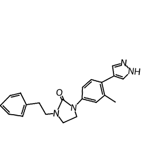 Cc1cc(N2CCN(CCc3ccc(F)cc3)C2=O)ccc1-c1cn[nH]c1